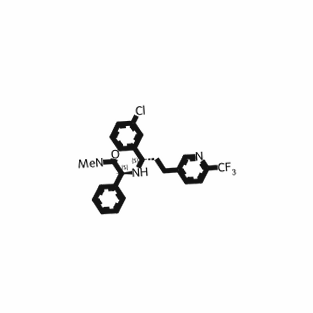 CNC(=O)[C@@H](N[C@@H](CCc1ccc(C(F)(F)F)nc1)c1cccc(Cl)c1)c1ccccc1